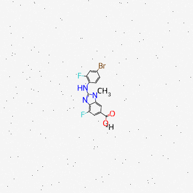 [2H]OC(=O)c1cc(F)c2nc(Nc3ccc(Br)cc3F)n(C)c2c1